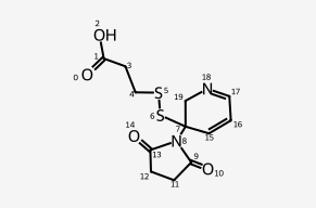 O=C(O)CCSSC1(N2C(=O)CCC2=O)C=CC=NC1